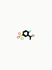 CC(Br)c1cc(S(=O)(=O)Cl)ccc1F